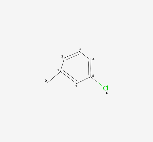 Cc1[c]c[c]c(Cl)c1